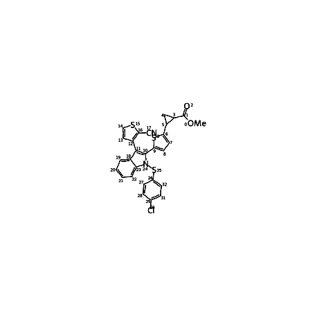 COC(=O)C1CC1c1ccc(-c2c(-c3ccsc3C#N)c3ccccc3n2Sc2ccc(Cl)cc2)s1